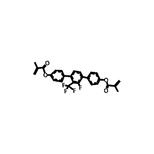 C=C(C)C(=O)Oc1ccc(-c2ccc(-c3ccc(OC(=O)C(=C)C)cc3)c(C(F)(F)F)c2F)cc1